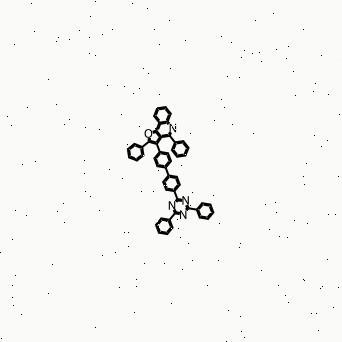 c1ccc(-c2nc(-c3ccccc3)nc(-c3ccc(-c4ccc(-c5c(-c6ccccc6)oc6c5c(-c5ccccc5)nc5ccccc56)cc4)cc3)n2)cc1